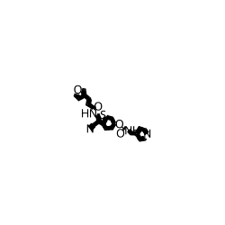 N#Cc1c(NC(=O)C=Cc2ccoc2)sc2c1CCC(OC(=O)NCc1ccncc1)C2